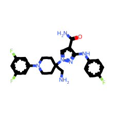 NCC1(n2cc(C(N)=O)c(Nc3ccc(F)cc3)n2)CCN(c2cc(F)cc(F)c2)CC1